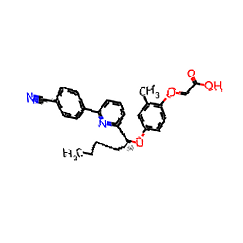 CCCC[C@H](Oc1ccc(OCC(=O)O)c(C)c1)c1cccc(-c2ccc(C#N)cc2)n1